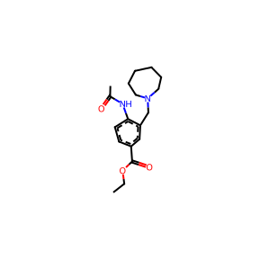 CCOC(=O)c1ccc(NC(C)=O)c(CN2CCCCCC2)c1